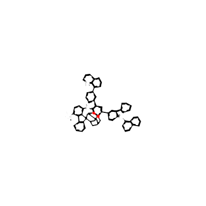 C[Si](C)(C)c1ccc(-n2c3ccc(-c4ccc5c(c4)c4ccccc4n5-c4cccc5ccccc45)cc3c3cc(-c4cccc5cccnc45)ccc32)c2c1-c1ccccc1C21C2CC3CC(C2)CC1C3